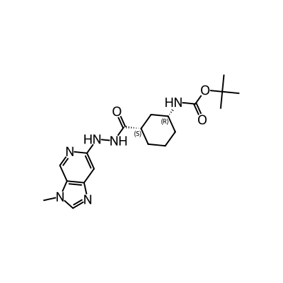 Cn1cnc2cc(NNC(=O)[C@H]3CCC[C@@H](NC(=O)OC(C)(C)C)C3)ncc21